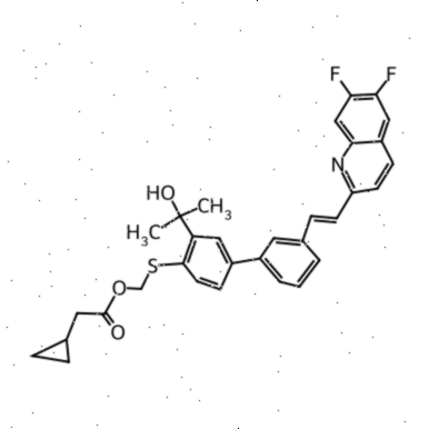 CC(C)(O)c1cc(-c2cccc(C=Cc3ccc4cc(F)c(F)cc4n3)c2)ccc1SCOC(=O)CC1CC1